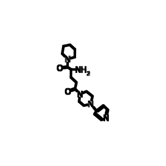 NC(CCC(=O)N1CCN(c2ccncc2)CC1)C(=O)N1CCCCC1